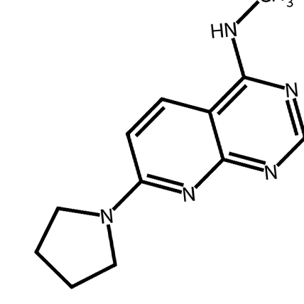 CNc1ncnc2nc(N3CCCC3)ccc12